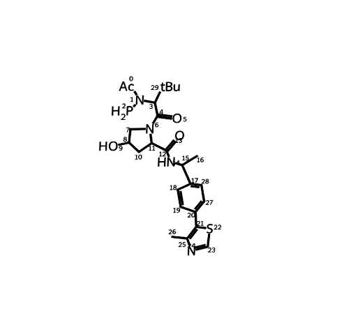 CC(=O)N(P)C(C(=O)N1CC(O)CC1C(=O)NC(C)c1ccc(-c2scnc2C)cc1)C(C)(C)C